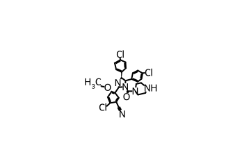 CCOc1cc(Cl)c(C#N)cc1C1=N[C@@H](c2ccc(Cl)cc2)C(c2ccc(Cl)cc2)N1C(=O)N1CCNCC1